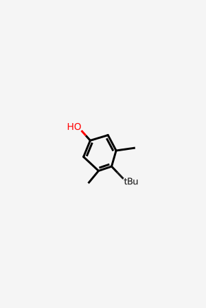 Cc1cc(O)cc(C)c1C(C)(C)C